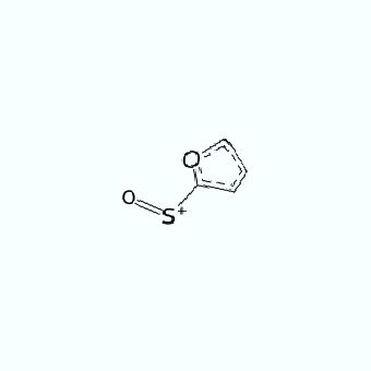 O=[S+]c1ccco1